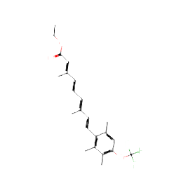 CCOC(=O)/C=C(C)/C=C/C=C(C)/C=C/c1c(C)cc(OC(F)(F)F)c(C)c1C